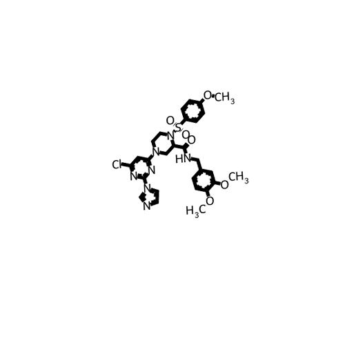 COc1ccc(S(=O)(=O)N2CCN(c3cc(Cl)nc(-n4ccnc4)n3)CC2C(=O)NCc2ccc(OC)c(OC)c2)cc1